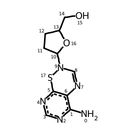 Nc1ncnc2c1N=CN(C1CCC(CO)O1)S2